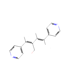 C/C(=C(CO)\C(C)=C(/C)c1ccncc1)c1ccncc1